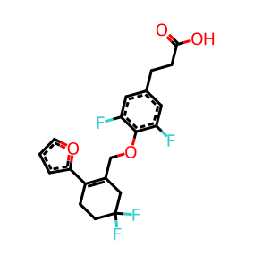 O=C(O)CCc1cc(F)c(OCC2=C(c3ccco3)CCC(F)(F)C2)c(F)c1